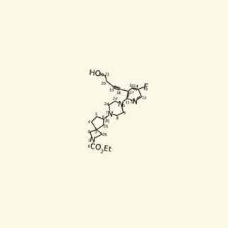 CCOC(=O)N1CC2(CC[C@@H](N3CCN(c4ncc(F)cc4C#CCCO)CC3)C2)C1